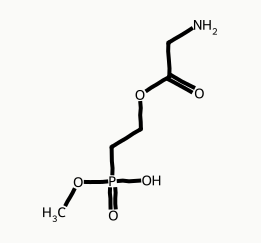 COP(=O)(O)CCOC(=O)CN